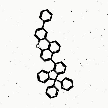 c1ccc(-c2ccc3c(c2)-c2cccc4c(-c5cccc6c5-c5ccccc5C6(c5ccccc5)c5ccccc5)ccc(c24)O3)cc1